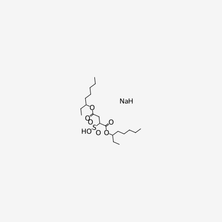 CCCCCC(CC)OC(=O)CC(C(=O)OC(CC)CCCCC)S(=O)(=O)O.[NaH]